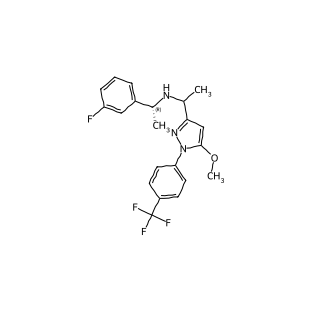 COc1cc(C(C)N[C@H](C)c2cccc(F)c2)nn1-c1ccc(C(F)(F)F)cc1